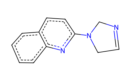 C1=NCN(c2ccc3ccccc3n2)C1